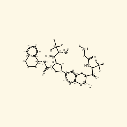 CNCC(=O)NC(C(=O)N1Cc2cc(C3C[C@@H](C(=O)N[C@@H]4CCCc5ccccc54)N(C(=O)[C@@H](NC)C(C)(C)C)C3)ccc2C[C@H]1C)C(C)(C)C